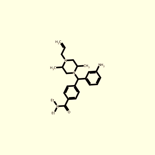 C=CCN1CC(C)N(C(c2ccc(C(=O)N(CC)CC)cc2)c2cccc(N)c2)CC1C